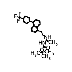 C=C(NCCc1cccc2c(-c3ccc(C(F)(F)F)cc3)cccc12)NC(=O)OC(C)(C)C